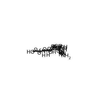 CC(C)(COP(=O)(O)OP(=O)(O)OC[C@H]1O[C@@H](n2cnc3c(N)ncnc32)[C@H](O)[C@@H]1OP(=O)(O)O)C(O)C(=O)NCCC(=O)NCCSC(=O)CCC(=O)CCO